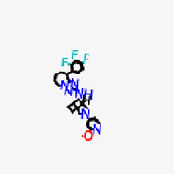 COc1cc(N2C[C@H]3[C@H](Nc4nc5n(n4)CCCCC5c4ccc(F)c(F)c4F)C4CCC43C2)ccn1